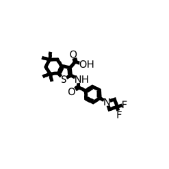 CC1(C)Cc2c(sc(NC(=O)c3ccc(N4CC(F)(F)C4)cc3)c2C(=O)O)C(C)(C)C1